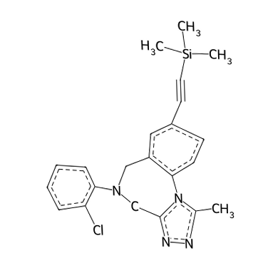 Cc1nnc2n1-c1ccc(C#C[Si](C)(C)C)cc1CN(c1ccccc1Cl)C2